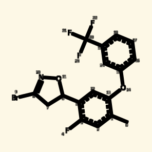 Cc1cc(F)c(C2CC(Br)=NO2)cc1Oc1cccc(C(F)(F)F)c1